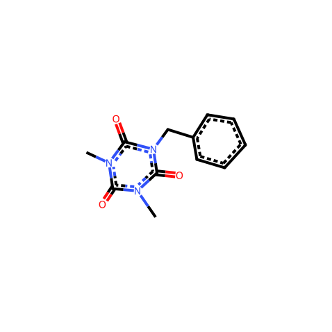 Cn1c(=O)n(C)c(=O)n(Cc2ccccc2)c1=O